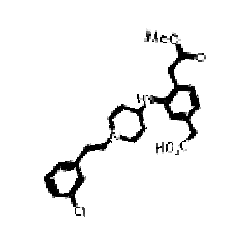 COC(=O)Cc1ccc(CC(=O)O)cc1NC1CCN(CCc2cccc(Cl)c2)CC1